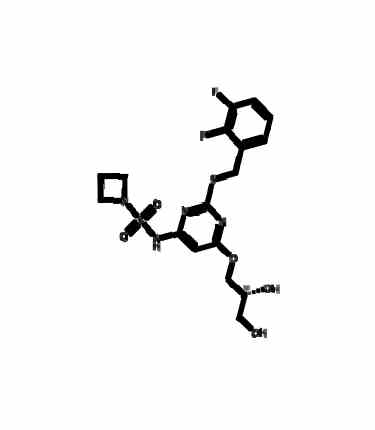 O=S(=O)(Nc1cc(OC[C@H](O)CO)nc(SCc2cccc(F)c2F)n1)N1CCC1